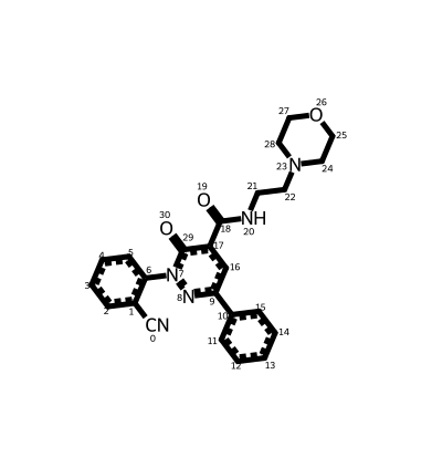 N#Cc1ccccc1-n1nc(-c2ccccc2)cc(C(=O)NCCN2CCOCC2)c1=O